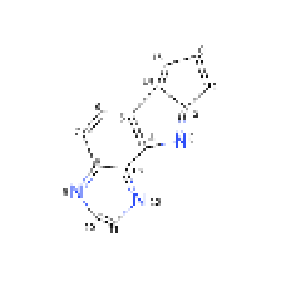 C1=CC2=Nc3c(ccc4nccnc34)C2=C1